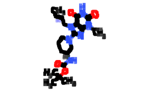 C/C=C/Cn1c(N2CCC[C@@H](NC(=O)OC(C)(C)C)C2)nc2c1c(=O)[nH]c(=O)n2C